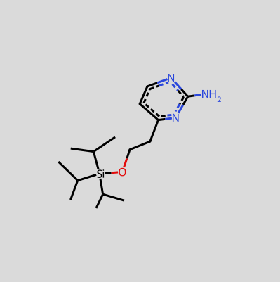 CC(C)[Si](OCCc1ccnc(N)n1)(C(C)C)C(C)C